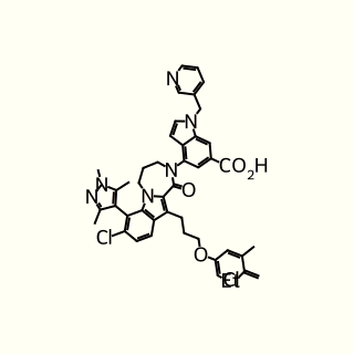 C=C(Cl)/C(C)=C\C(=C/CC)OCCCc1c2n(c3c(-c4c(C)nn(C)c4C)c(Cl)ccc13)CCCN(c1cc(C(=O)O)cc3c1ccn3Cc1cccnc1)C2=O